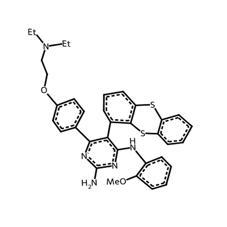 CCN(CC)CCOc1ccc(-c2nc(N)nc(Nc3ccccc3OC)c2-c2cccc3c2Sc2ccccc2S3)cc1